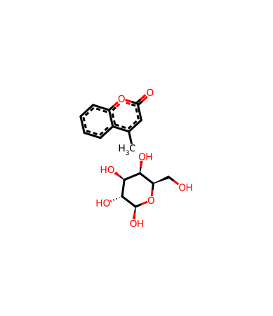 Cc1cc(=O)oc2ccccc12.OC[C@H]1O[C@@H](O)[C@H](O)[C@@H](O)[C@H]1O